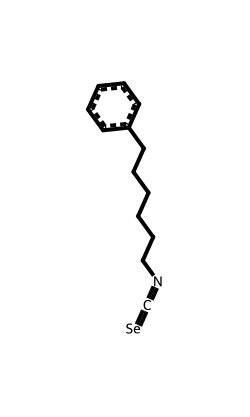 [Se]=C=NCCCCCCc1ccccc1